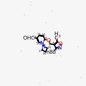 CCCCc1noc(C)c1COC1C=CC(C=O)=CN1N1CCC1